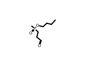 CCCCOP(C)(=O)CCC=O